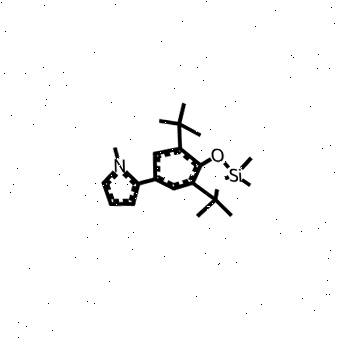 Cn1cccc1-c1cc(C(C)(C)C)c(O[Si](C)(C)C)c(C(C)(C)C)c1